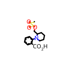 CS(=O)(=O)OCC1CCCCN1c1ccccc1C(=O)O